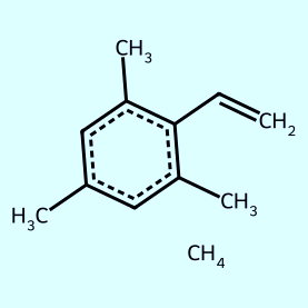 C.C=Cc1c(C)cc(C)cc1C